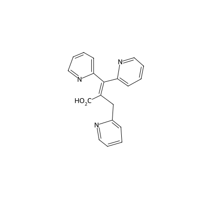 O=C(O)C(Cc1ccccn1)=C(c1ccccn1)c1ccccn1